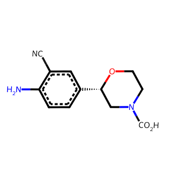 N#Cc1cc([C@H]2CN(C(=O)O)CCO2)ccc1N